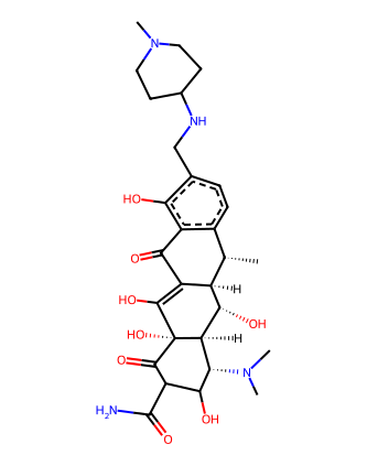 C[C@H]1c2ccc(CNC3CCN(C)CC3)c(O)c2C(=O)C2=C(O)[C@]3(O)C(=O)C(C(N)=O)C(O)[C@@H](N(C)C)[C@@H]3[C@@H](O)[C@@H]21